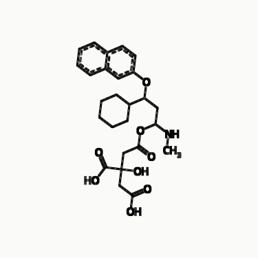 CNC(CC(Oc1ccc2ccccc2c1)C1CCCCC1)OC(=O)CC(O)(CC(=O)O)C(=O)O